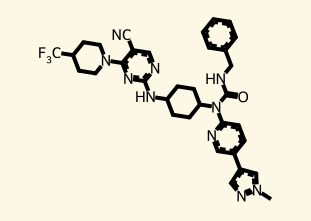 Cn1cc(-c2ccc(N(C(=O)NCc3ccccc3)C3CCC(Nc4ncc(C#N)c(N5CCC(C(F)(F)F)CC5)n4)CC3)nc2)cn1